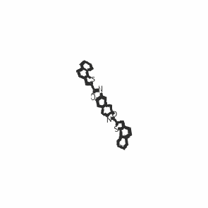 c1ccc2c(c1)ccc1cc(-c3nc4cc5cc6oc(-c7cc8ccc9ccccc9c8s7)nc6cc5cc4o3)sc12